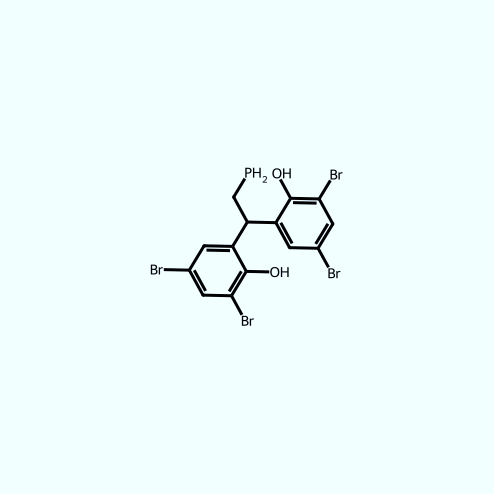 Oc1c(Br)cc(Br)cc1C(CP)c1cc(Br)cc(Br)c1O